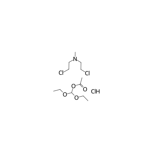 CCOC(OCC)OC(C)=O.CN(CCCl)CCCl.Cl